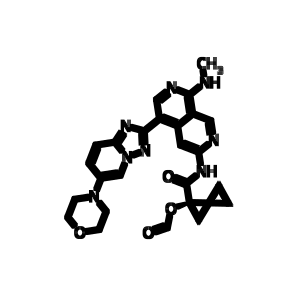 CNc1ncc(-c2nc3ccc(N4CCOCC4)cn3n2)c2cc(NC(=O)[C@@]3(OC=O)CC34CC4)ncc12